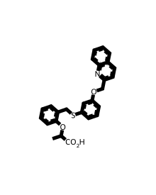 CC(Oc1ccccc1CSc1cccc(OCc2ccc3ccccc3n2)c1)C(=O)O